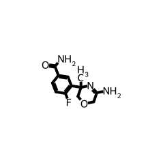 CC1(c2cc(C(N)=O)ccc2F)COCC(N)=N1